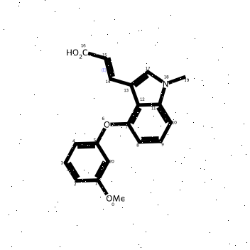 COc1cccc(Oc2cccc3c2c(/C=C/C(=O)O)cn3C)c1